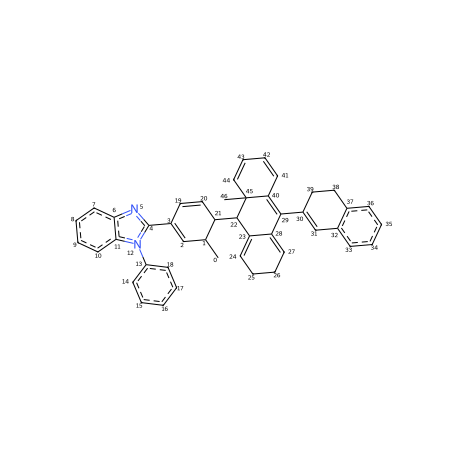 CC1C=C(c2nc3ccccc3n2-c2ccccc2)C=CC1C1C2=CCCC=C2C(C2=Cc3ccccc3CC2)=C2C=CC=CC21C